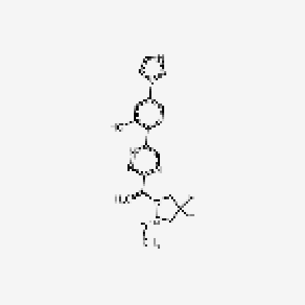 C=C(c1ncc(-c2ccc(-n3ccnc3)cc2O)nn1)[C@H]1CC(F)(F)C[C@@H]1OC